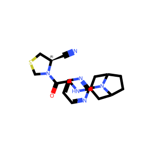 N#C[C@@H]1CSCN1C(=O)CNC1CC2CCC(C1)N2c1ncccn1